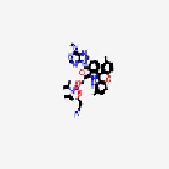 C=Nc1ncnc2c1ncn2[C@H]1C[C@H](NC2(c3ccccc3)c3cc(C)ccc3Oc3ccc(C)cc32)[C@@H](COP(OCCC#N)N(C(C)C)C(C)C)O1